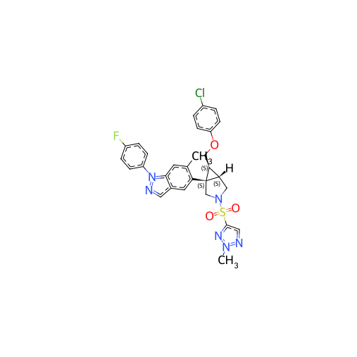 Cc1cc2c(cnn2-c2ccc(F)cc2)cc1[C@]12CN(S(=O)(=O)c3cnn(C)n3)C[C@H]1[C@@H]2COc1ccc(Cl)cc1